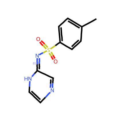 Cc1ccc(S(=O)(=O)/N=c2\cncc[nH]2)cc1